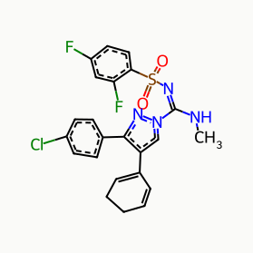 CNC(=NS(=O)(=O)c1ccc(F)cc1F)n1cc(C2=CCCC=C2)c(-c2ccc(Cl)cc2)n1